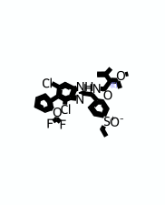 C=C(C)/C(C(=O)NC(c1ccc([S+]([O-])CC)cc1)c1nc2c(Cl)c(-c3ccccc3OC(F)F)c(Cl)cc2[nH]1)=C(/C)OC